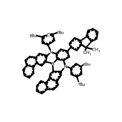 CC(C)(C)c1cc(N2c3cc4ccc5ccccc5c4cc3B3c4cc5c(ccc6ccccc65)cc4N(c4cc(C(C)(C)C)cc(C(C)(C)C)c4)c4cc(-c5ccc6c(c5)C(C)(C)c5ccccc5-6)cc2c43)cc(C(C)(C)C)c1